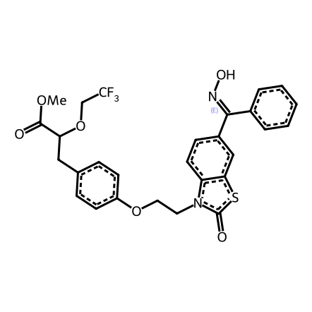 COC(=O)C(Cc1ccc(OCCn2c(=O)sc3cc(/C(=N/O)c4ccccc4)ccc32)cc1)OCC(F)(F)F